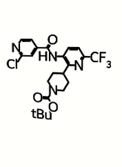 CC(C)(C)OC(=O)N1CCC(c2nc(C(F)(F)F)ccc2NC(=O)c2ccnc(Cl)c2)CC1